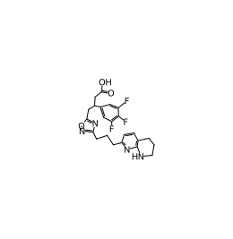 O=C(O)CC(Cc1nc(CCCc2ccc3c(n2)NCCC3)no1)c1cc(F)c(F)c(F)c1